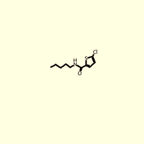 CCCCCNC(=O)c1ccc(Cl)s1